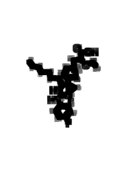 CCCCCCCC(NC(=O)Nc1ccc(F)cc1F)C1(c2ccc(CC(OCC)C(=O)O)cc2)CC1